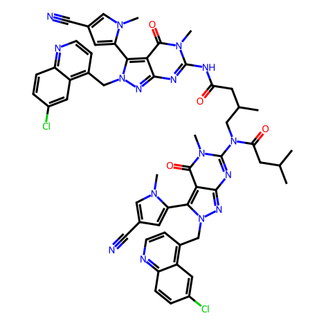 CC(C)CC(=O)N(CC(C)CC(=O)Nc1nc2nn(Cc3ccnc4ccc(Cl)cc34)c(-c3cc(C#N)cn3C)c2c(=O)n1C)c1nc2nn(Cc3ccnc4ccc(Cl)cc34)c(-c3cc(C#N)cn3C)c2c(=O)n1C